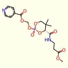 COC(=O)CCNC(=O)[C@@H]1OP(=O)(OCOC(=O)c2ccncc2)OCC1(C)C